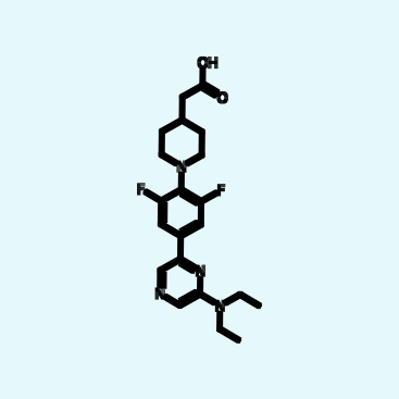 CCN(CC)c1cncc(-c2cc(F)c(N3CCC(CC(=O)O)CC3)c(F)c2)n1